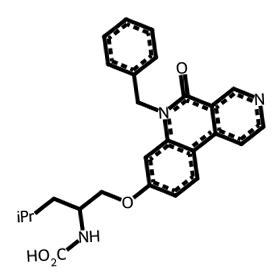 CC(C)CC(COc1ccc2c3ccncc3c(=O)n(Cc3ccccc3)c2c1)NC(=O)O